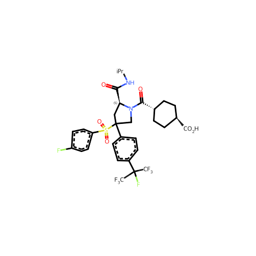 CC(C)NC(=O)[C@@H]1CC(c2ccc(C(F)(C(F)(F)F)C(F)(F)F)cc2)(S(=O)(=O)c2ccc(F)cc2)CN1C(=O)[C@H]1CC[C@H](C(=O)O)CC1